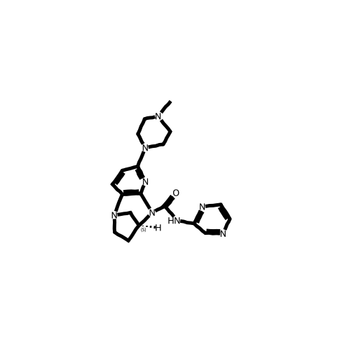 CN1CCN(c2ccc3c(n2)N(C(=O)Nc2cnccn2)[C@H]2CCN3C2)CC1